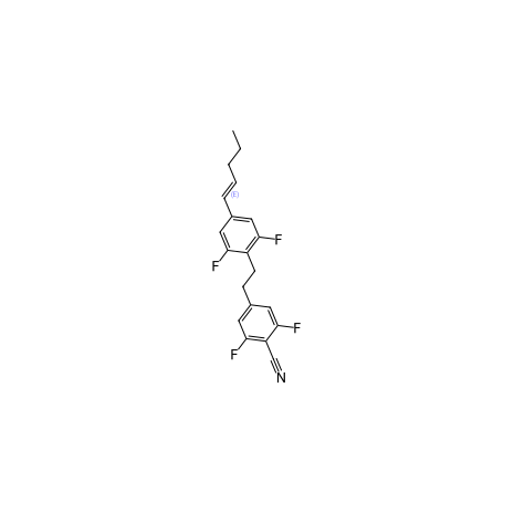 CCC/C=C/c1cc(F)c(CCc2cc(F)c(C#N)c(F)c2)c(F)c1